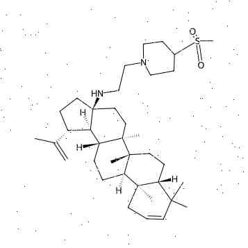 C=C(C)[C@@H]1CC[C@]2(NCCN3CCC(S(C)(=O)=O)CC3)CC[C@]3(C)[C@H](CC[C@@H]4[C@]5(C)CC=[C]C(C)(C)[C@H]5CC[C@]43C)[C@@H]12